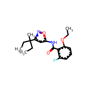 CCOc1cccc(F)c1C(=O)Nc1cc(C(C)(CC)CC)no1